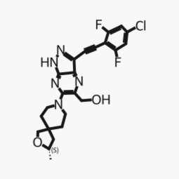 C[C@H]1CC2(CCN(c3nc4[nH]nc(C#Cc5c(F)cc(Cl)cc5F)c4nc3CO)CC2)CO1